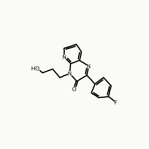 O=c1c(-c2ccc(F)cc2)nc2cccnc2n1CCCO